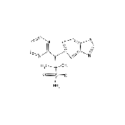 CC(C)(C(c1ccc2scnc2c1)c1ncccn1)S(N)(=O)=O